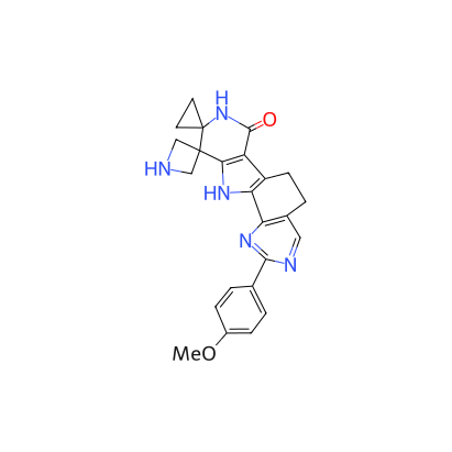 COc1ccc(-c2ncc3c(n2)-c2[nH]c4c(c2CC3)C(=O)NC2(CC2)C42CNC2)cc1